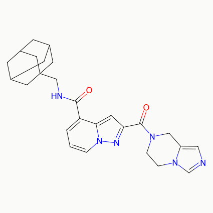 O=C(NCC12CC3CC(CC(C3)C1)C2)c1cccn2nc(C(=O)N3CCn4cncc4C3)cc12